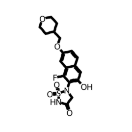 O=C1CN(c2c(O)cc3ccc(OCC4CCOCC4)cc3c2F)S(=O)(=O)N1